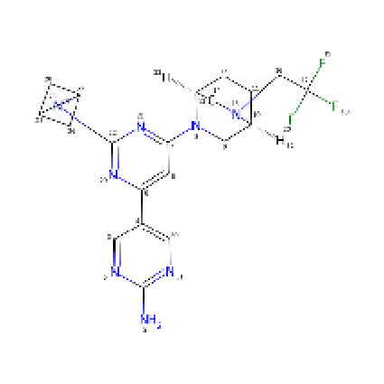 Nc1ncc(-c2cc(N3C[C@@H]4CC[C@H]3CN4CC(F)(F)F)nc(N3CC4CC3C4)n2)cn1